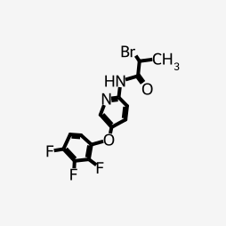 CC(Br)C(=O)Nc1ccc(Oc2ccc(F)c(F)c2F)cn1